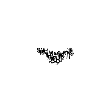 COc1nc(-c2cccc(-c3cccc(-c4cnc(CNCC5CC(C)(C)C(=O)N5)c(OC)n4)c3Cl)c2Cl)cnc1CNCC1CCC(=O)N1